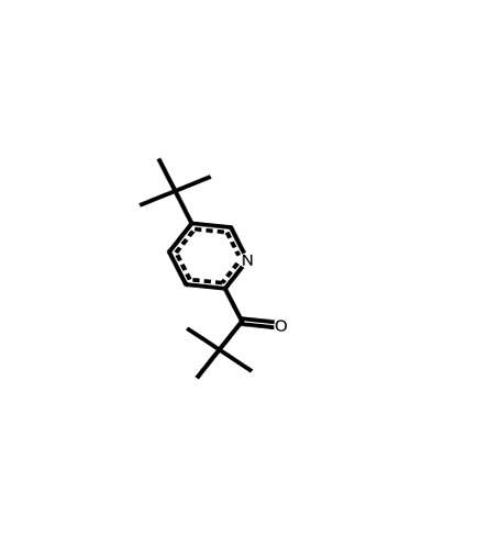 CC(C)(C)C(=O)c1ccc(C(C)(C)C)cn1